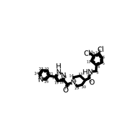 O=C(NCc1ccc(Cl)c(Cl)c1)C1CCN(C(=O)c2cc(-c3cccnc3)[nH]n2)CC1